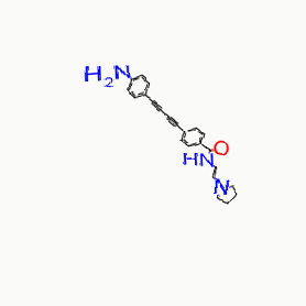 Nc1ccc(C#CC#Cc2ccc(C(=O)NCCN3CCCC3)cc2)cc1